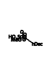 CCCCCCCCCCCCCCCCCC(=O)Oc1cc(OC)c(S(=O)(=O)O)cc1C(=O)c1ccccc1